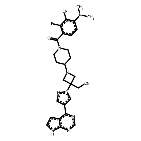 CN(C)c1ccc(C(=O)N2CCC(N3CC(CC#N)(n4cc(-c5ncnc6[nH]ccc56)cn4)C3)CC2)c(F)c1C#N